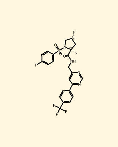 C[C@@]1(C(=O)NCc2cc(-c3ccc(C(F)(F)F)cc3)ncn2)C[C@@H](F)CN1S(=O)(=O)c1ccc(F)cc1